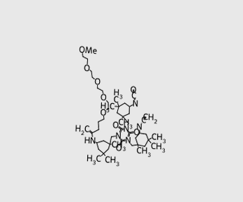 C=C=NC1CC(C)(C)CC(C)(Cn2c(=O)n(CC3(C)CC(N=C=O)CC(C)(C)C3)c(=O)n(CC3(C)CC(NC(=C)CCCOCCOCCOCCOCCOC)CC(C)(C)C3)c2=O)C1